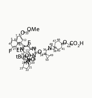 CCc1c(F)ccc2cc(OCOC)cc(-c3ncc4c(N5CC6CCC(C5)N6C(=O)OC(C)(C)C)nc(OCC5(CN6CC7(CCC(OCC(=O)O)CC7)C6)CC5)nc4c3F)c12